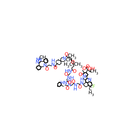 CC[C@@]1(O)C(=O)OCc2c1cc1n(c2=O)Cc2c-1nc1cc(F)c(C)c3c1c2[C@@H](NC(=O)CNC(=O)CNC(=O)[C@H](Cc1ccccc1)NC(=O)CNC(=O)CNC(=O)CCC(C)(C)OCCC(C)(C)C(=O)N1CCC2(CCC(C(=O)NCCC(=O)N4Cc5ccccc5-c5nnn(C)c5-c5ccccc54)CC2)CC1)CC3